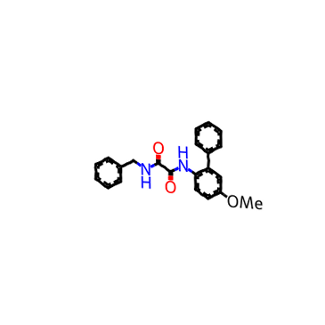 COc1ccc(NC(=O)C(=O)NCc2ccccc2)c(-c2ccccc2)c1